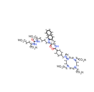 CC(=O)N(CC1CCC(C(=O)NC(Cc2ccc3ccccc3c2)C(=O)NCCCCC(NC(=O)NC(CCC(=O)O)C(=O)O)C(=O)O)CC1)N1CCN(CC(=O)O)CCN(CC(=O)O)CCN(CC(=O)O)CC1